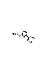 CCCCCCSc1nccc(C(OCC)OCC)n1